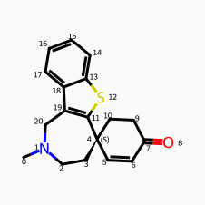 CN1CC[C@@]2(C=CC(=O)CC2)c2sc3ccccc3c2C1